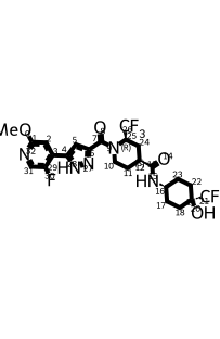 COc1cc(-c2cc(C(=O)N3CC[C@H](C(=O)N[C@H]4CC[C@@](O)(C(F)(F)F)CC4)C[C@@H]3C(F)(F)F)n[nH]2)c(F)cn1